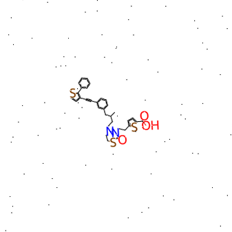 CC(CCN1CCSC(=O)N1CCc1ccc(C(=O)O)s1)Cc1cccc(C#Cc2ccsc2-c2ccccc2)c1